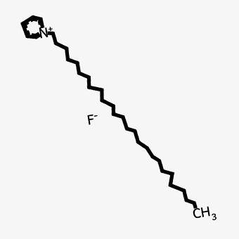 CCCCCCCCCCCCCCCCCCCCCCCCCC[n+]1ccccc1.[F-]